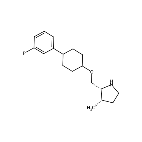 C[C@H]1CCN[C@H]1COC1CCC(c2cccc(F)c2)CC1